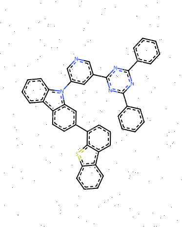 c1ccc(-c2nc(-c3ccccc3)nc(-c3cncc(-n4c5ccccc5c5ccc(-c6cccc7c6sc6ccccc67)cc54)c3)n2)cc1